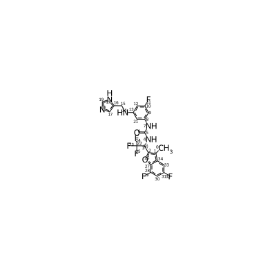 Cc1c([C@@H](NC(=O)Nc2cc(F)cc(NCc3cnc[nH]3)c2)C(F)(F)F)oc2c(F)cc(F)cc12